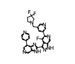 Fc1c(-c2cncc(CN3CCC(F)(F)C3)c2)ncc2[nH]nc(-c3nc4c(-c5ccncc5)cncc4[nH]3)c12